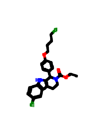 CCOC(=O)N1CCc2c([nH]c3ccc(Cl)cc23)C1c1ccc(OCCCCCl)cc1